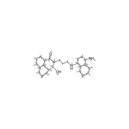 Nc1ccc(NCCCN2C(=O)c3cccc4cccc(c34)C2O)c2ccccc12